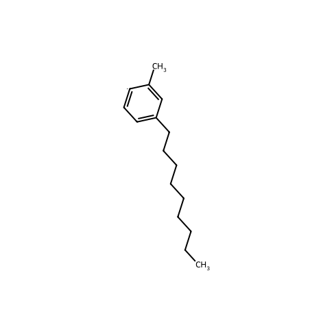 CCCCCCCCCc1cc[c]c(C)c1